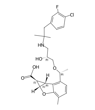 Cc1ccc([C@@H](C)OC[C@H](O)CNC(C)(C)Cc2ccc(Cl)c(F)c2)c2c1O[C@@H]1[C@@H](C(=O)O)[C@H]21